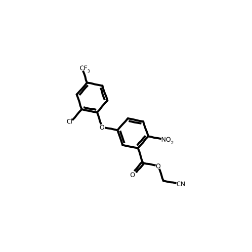 N#CCOC(=O)c1cc(Oc2ccc(C(F)(F)F)cc2Cl)ccc1[N+](=O)[O-]